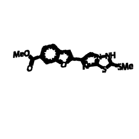 COC(=O)c1ccc2cc(-c3cn4c(n3)SC(SC)N4)oc2c1